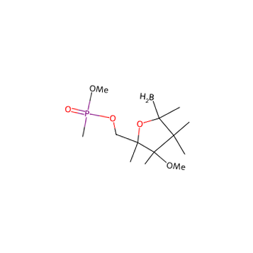 BC1(C)OC(C)(COP(C)(=O)OC)C(C)(OC)C1(C)C